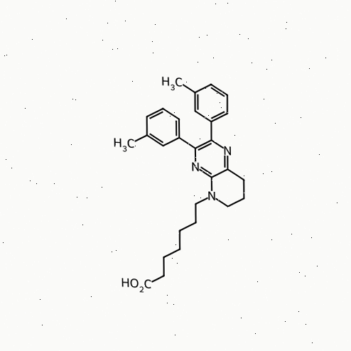 Cc1cccc(-c2nc3c(nc2-c2cccc(C)c2)N(CCCCCCC(=O)O)CCC3)c1